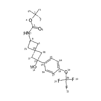 CC(C)(C)OC(=O)NC1CC2(C1)CC(O)(c1ccc(OC(F)(F)F)cc1)C2